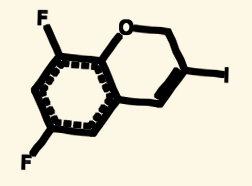 Fc1cc(F)c2c(c1)C=C(I)CO2